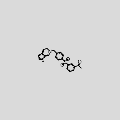 CC(=O)c1cccc(S(=O)(=O)c2ccc(CN3C=c4sccc4=CC3)cc2)c1